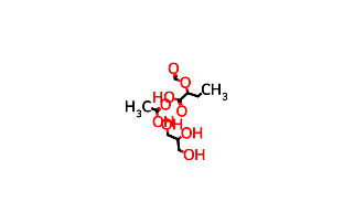 CC(=O)O.CCC(OC=O)C(=O)O.OCC(O)CO